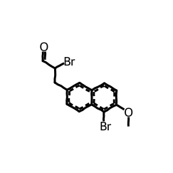 COc1ccc2cc(CC(Br)C=O)ccc2c1Br